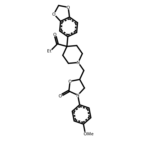 CCC(=O)C1(c2ccc3c(c2)OCO3)CCN(CC2CN(c3ccc(OC)cc3)C(=O)O2)CC1